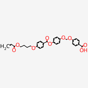 C=CC(=O)OCCCCOc1ccc(C(=O)Oc2ccc(OCOc3ccc(C(=O)O)cc3)cc2)cc1